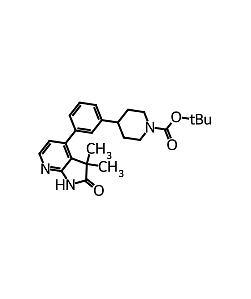 CC(C)(C)OC(=O)N1CCC(c2cccc(-c3ccnc4c3C(C)(C)C(=O)N4)c2)CC1